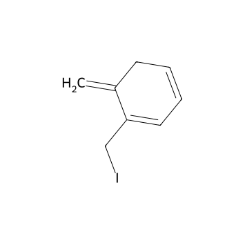 C=C1CC=CC=C1CI